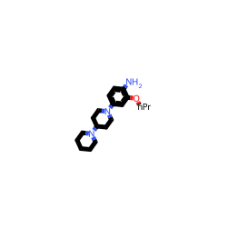 CCCOc1cc(N2CCC(N3CCCCC3)CC2)ccc1N